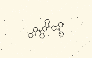 c1ccc(-n2c3ccc(-n4c5ccccc5c5cc6c(cc54)c4ccccc4n6-c4cccc5c4sc4ccccc45)cc3c3ccncc32)cc1